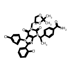 CC(c1ccc(C(N)=O)cc1)n1c(=O)n(C[C@@H]2COC(C)(C)O2)c(=O)c2c1nc(-c1ccccc1Cl)n2-c1ccc(Cl)cc1